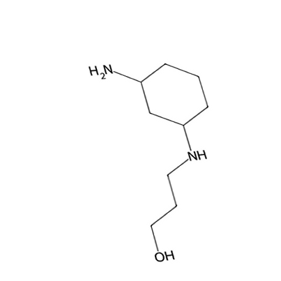 NC1CCCC(NCCCO)C1